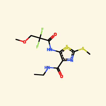 CCNC(=O)c1nc(SC)sc1NC(=O)C(F)(F)COC